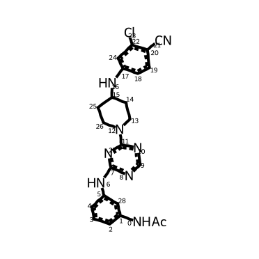 CC(=O)Nc1cccc(Nc2ncnc(N3CCC(Nc4ccc(C#N)c(Cl)c4)CC3)n2)c1